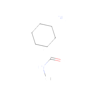 CNC(=O)[C@@H]1CCC[C@H](N)C1